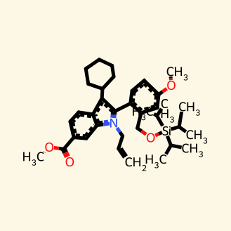 C=CCn1c(-c2ccc(OC)cc2CO[Si](C(C)C)(C(C)C)C(C)C)c(C2CCCCC2)c2ccc(C(=O)OC)cc21